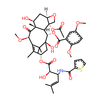 COc1ccc(OC)c(C(=O)O[C@H]2[C@@H]3[C@]4(OC(C)=O)CO[C@@H]4C[C@H](O)[C@@]3(C)C(=O)[C@H](OC)C3=C(C)[C@@H](OC(=O)[C@H](O)[C@H](C=C(C)C)NC(=O)c4cccs4)C[C@]2(O)C3(C)C)c1